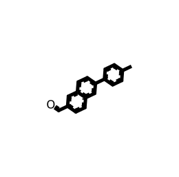 Cc1ccc(-c2ccc3cc(C=O)ccc3c2)cc1